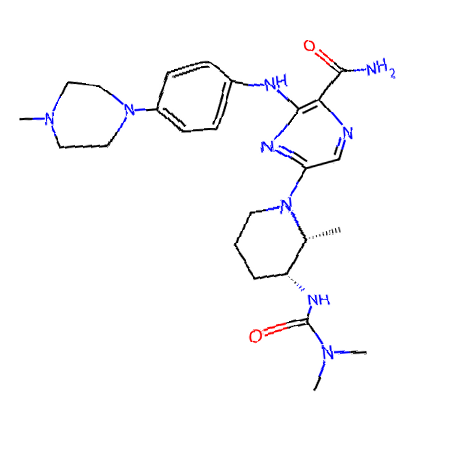 C[C@@H]1[C@H](NC(=O)N(C)C)CCCN1c1cnc(C(N)=O)c(Nc2ccc(N3CCN(C)CC3)cc2)n1